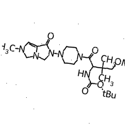 COCC(C)(C)C(NC(=O)OC(C)(C)C)C(=O)N1CCN(N2CN3CN(C)C=C3C2=O)CC1